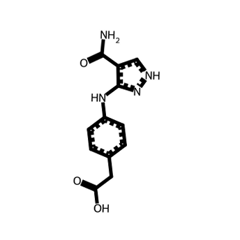 NC(=O)c1c[nH]nc1Nc1ccc(CC(=O)O)cc1